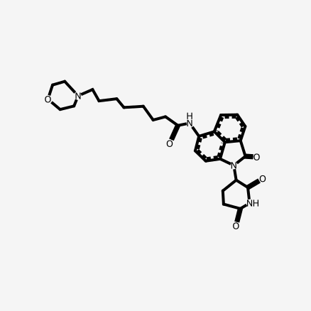 O=C1CCC(N2C(=O)c3cccc4c(NC(=O)CCCCCCCN5CCOCC5)ccc2c34)C(=O)N1